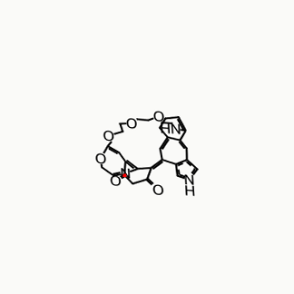 O=C1CC(=O)/C2=C3\C=C4CCC=C(NCCOCCOCCOC/C5=C/C1=C2/N=C\CO5)C4=Cc1c[nH]cc13